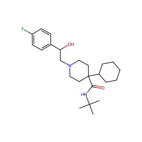 CC(C)(C)NC(=O)C1(C2CCCCC2)CCN(CC(O)c2ccc(F)cc2)CC1